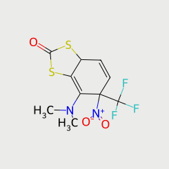 CN(C)C1=C2SC(=O)SC2C=CC1([N+](=O)[O-])C(F)(F)F